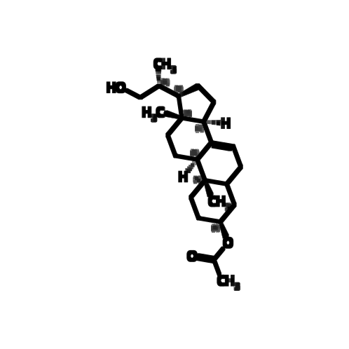 CC(=O)O[C@H]1CC[C@@]2(C)C(CC=C3[C@@H]4CC[C@H]([C@@H](C)CO)[C@@]4(C)CC[C@@H]32)C1